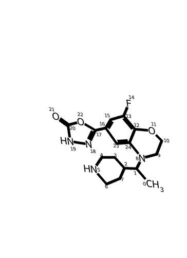 CC(C1CCNCC1)N1CCOc2c(F)cc(-c3n[nH]c(=O)o3)cc21